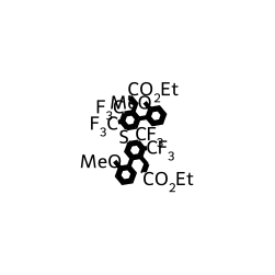 CCOC(=O)/C=C/c1c(-c2ccccc2OC)cc(Sc2cc(-c3ccccc3OC)c(/C=C/C(=O)OCC)c(C(F)(F)F)c2C(F)(F)F)c(C(F)(F)F)c1C(F)(F)F